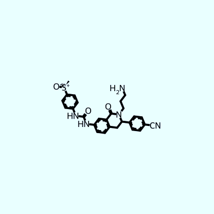 C[S@+]([O-])c1ccc(NC(=O)Nc2ccc3c(c2)C(=O)N(CCCN)C(c2ccc(C#N)cc2)C3)cc1